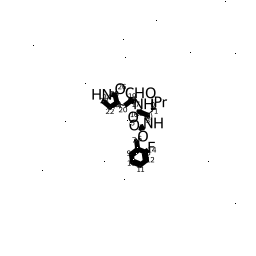 CC(C)C[C@H](NC(=O)OCc1ccccc1F)C(=O)N[C@H](C=O)C[C@@H]1CCNC1=O